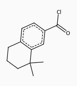 CC1(C)CCCc2ccc(C(=O)Cl)cc21